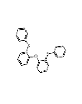 c1ccc(Sc2ccccc2Oc2ccccc2Sc2ccccc2)cc1